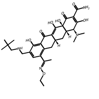 CCO/N=C(\C)c1cc(CNCC(C)(C)C)c(O)c2c1C[C@H]1C[C@H]3[C@H](N(C)C)C(O)=C(C(N)=O)C(=O)[C@@]3(O)C(O)=C1C2=O